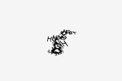 CC(C)Oc1cc(C(=O)NCC(O)C2Cc3ccccc3CN2)ccn1